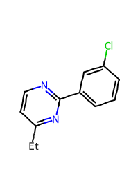 CCc1ccnc(-c2cccc(Cl)c2)n1